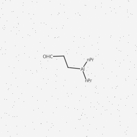 CC[CH2][Al]([CH2]CC)[CH2]CC=O